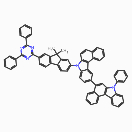 CC1(C)c2cc(-c3nc(-c4ccccc4)nc(-c4ccccc4)n3)ccc2-c2ccc(-n3c4ccc(-c5cc6c(c7ccccc57)c5ccccc5n6-c5ccccc5)cc4c4c5ccccc5ccc43)cc21